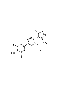 C=Cc1[nH]nc(C)c1-c1cnc(C2=CC(I)C(O)C(I)=C2)cc1CCCC